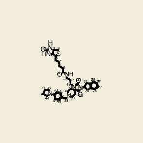 O=C(CCCCC1SCC2NC(=O)NC21)NCCCN1C(=O)N(C2Cc3ccccc3C2)C(=O)C12CCN(Cc1ccc(N3CCCC3)cc1)CC2